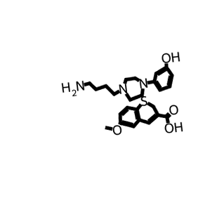 COc1ccc2c(c1)C=C(C(=O)O)CS2.NCCCCN1CCN(c2cccc(O)c2)CC1